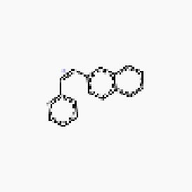 C(=C/c1ccc2ccccc2c1)/c1ccccc1